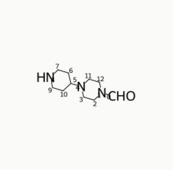 O=CN1CCN(C2CCNCC2)CC1